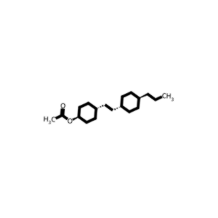 CCC[C@H]1CC[C@H](CC[C@H]2CC[C@H](OC(C)=O)CC2)CC1